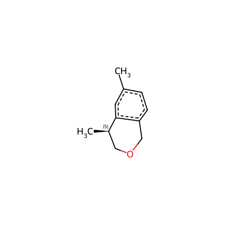 Cc1ccc2c(c1)[C@H](C)COC2